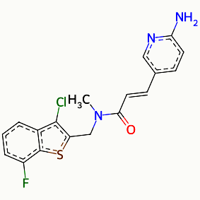 CN(Cc1sc2c(F)cccc2c1Cl)C(=O)C=Cc1ccc(N)nc1